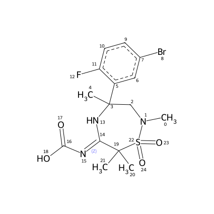 CN1CC(C)(c2cc(Br)ccc2F)N/C(=N\C(=O)O)C(C)(C)S1(=O)=O